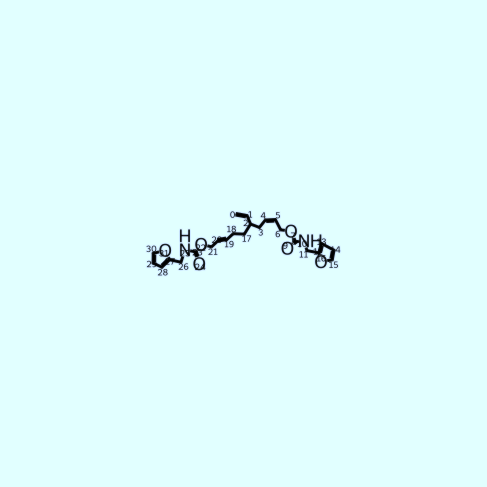 C=CC(C/C=C\COC(=O)NCc1ccco1)CC/C=C/COC(=O)NCc1ccco1